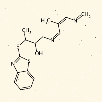 C=N/C=C(C)\C=N/CC(O)C(C)Sc1nc2ccccc2s1